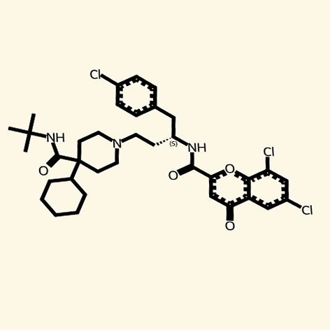 CC(C)(C)NC(=O)C1(C2CCCCC2)CCN(CC[C@H](Cc2ccc(Cl)cc2)NC(=O)c2cc(=O)c3cc(Cl)cc(Cl)c3o2)CC1